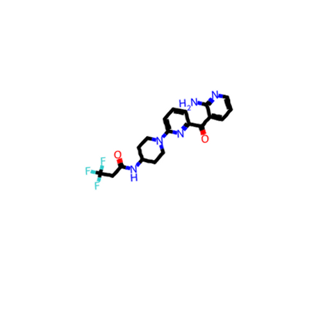 Nc1ncccc1C(=O)c1cccc(N2CCC(NC(=O)CC(F)(F)F)CC2)n1